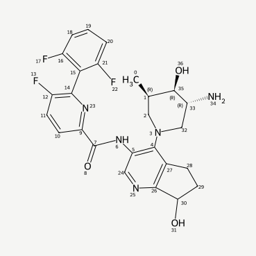 C[C@@H]1CN(c2c(NC(=O)c3ccc(F)c(-c4c(F)cccc4F)n3)cnc3c2CCC3O)C[C@@H](N)[C@@H]1O